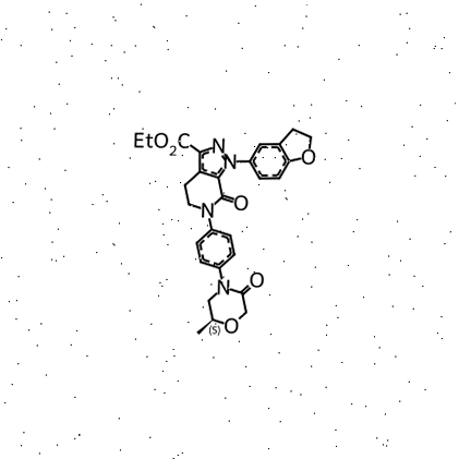 CCOC(=O)c1nn(-c2ccc3c(c2)CCO3)c2c1CCN(c1ccc(N3C[C@H](C)OCC3=O)cc1)C2=O